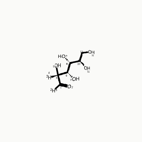 [2H]C(=O)[C@]([2H])(O)[C@@H](O)[C@H](O)[C@H](O)CO